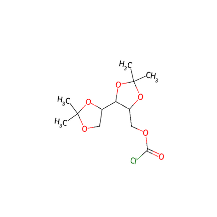 CC1(C)OCC(C2OC(C)(C)OC2COC(=O)Cl)O1